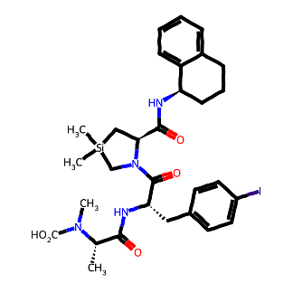 C[C@@H](C(=O)N[C@@H](Cc1ccc(I)cc1)C(=O)N1C[Si](C)(C)C[C@H]1C(=O)N[C@@H]1CCCc2ccccc21)N(C)C(=O)O